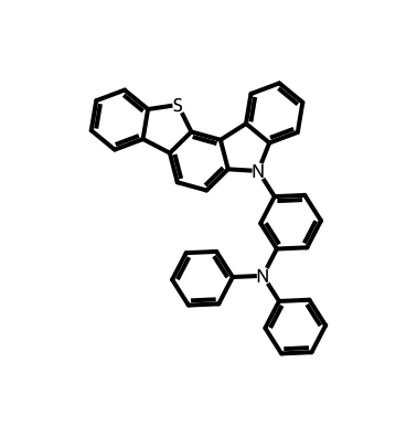 c1ccc(N(c2ccccc2)c2cccc(-n3c4ccccc4c4c5sc6ccccc6c5ccc43)c2)cc1